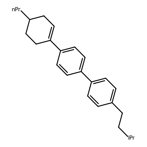 CCCC1CC=C(c2ccc(-c3ccc(CCC(C)C)cc3)cc2)CC1